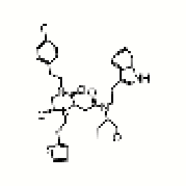 CCC(C=O)N(CCc1c[nH]c2ccccc12)C(=O)CC1C(=O)N(CCc2ccc(Cl)cc2)CC(=O)N1CCc1cccs1